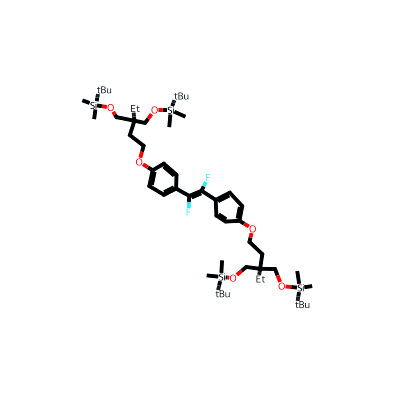 CCC(CCOc1ccc(/C(F)=C(\F)c2ccc(OCCC(CC)(CO[Si](C)(C)C(C)(C)C)CO[Si](C)(C)C(C)(C)C)cc2)cc1)(CO[Si](C)(C)C(C)(C)C)CO[Si](C)(C)C(C)(C)C